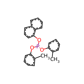 Cc1ccccc1OP(Oc1ccccc1C)Oc1cccc2ccccc12